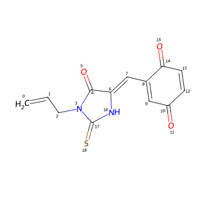 C=CCN1C(=O)/C(=C/C2=CC(=O)C=CC2=O)NC1=S